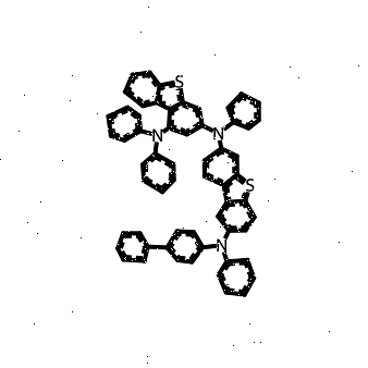 c1ccc(-c2ccc(N(c3ccccc3)c3ccc4sc5cc(N(c6ccccc6)c6cc(N(c7ccccc7)c7ccccc7)c7c(c6)sc6ccccc67)ccc5c4c3)cc2)cc1